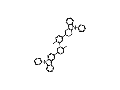 Cc1ccc(C2=Cc3c(n(-c4ccccc4)c4ccccc34)CC2)cc1-c1cc(-c2ccc3c(c2)c2ccccc2n3-c2ccccc2)ccc1C